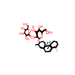 C=C1CC2CCC3[C@@H](C)CCC[C@@]3(C)[C@@H]2CCC1OC1OC(CO)C(O)C(O)C1OC1OC(CO)C(O)C(O)C1O